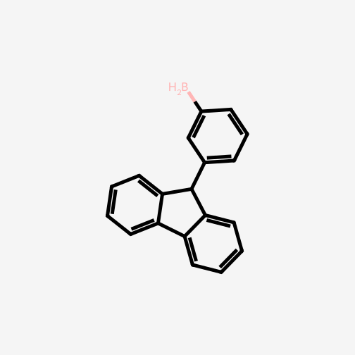 Bc1cccc(C2c3ccccc3-c3ccccc32)c1